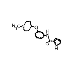 CN1CCC(Oc2cccc(NC(=O)c3ccc[nH]3)c2)CC1